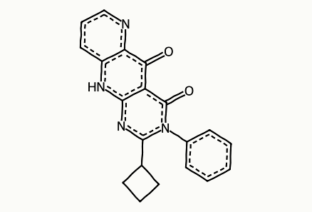 O=c1c2ncccc2[nH]c2nc(C3CCC3)n(-c3ccccc3)c(=O)c12